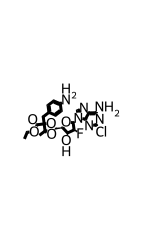 CCOC(=O)C(Cc1ccc(N)cc1)(OC[C@H]1O[C@@H](n2cnc3c(N)nc(Cl)nc32)[C@@H](F)[C@@H]1O)C(C)=O